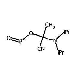 CC(C)N(C(C)C)C(C)(C#N)OP=O